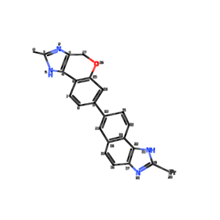 Cc1nc2c([nH]1)-c1ccc(-c3ccc4c(ccc5nc(C(C)C)[nH]c54)c3)cc1OC2